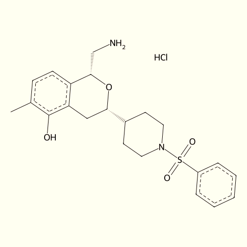 Cc1ccc2c(c1O)C[C@@H](C1CCN(S(=O)(=O)c3ccccc3)CC1)O[C@H]2CN.Cl